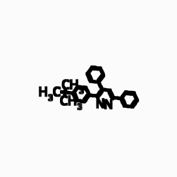 CC(C)(C)c1ccc(-c2nnc(-c3ccccc3)cc2-c2ccccc2)cc1